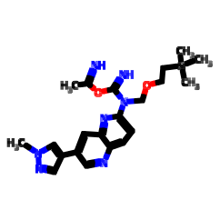 CC(=N)OC(=N)N(COCC[Si](C)(C)C)c1ccc2ncc(-c3cnn(C)c3)cc2n1